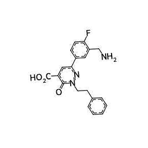 NCc1cc(-c2cc(C(=O)O)c(=O)n(CCc3ccccc3)n2)ccc1F